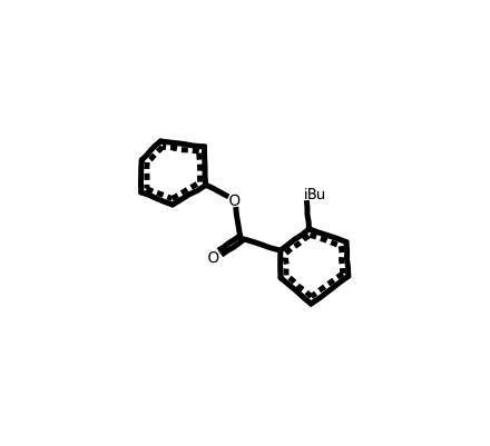 CCC(C)c1ccccc1C(=O)Oc1ccccc1